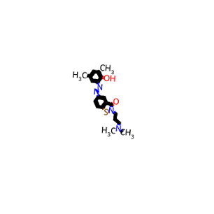 Cc1cc(C)c(O)c(N=Nc2ccc3sn(CCCN(C)C)c(=O)c3c2)c1